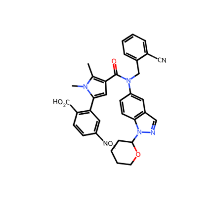 Cc1c(C(=O)N(Cc2ccccc2C#N)c2ccc3c(cnn3C3CCCCO3)c2)cc(-c2cc([N+](=O)[O-])ccc2C(=O)O)n1C